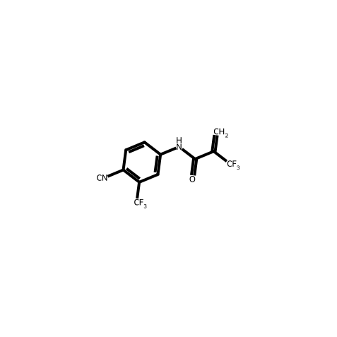 [C-]#[N+]c1ccc(NC(=O)C(=C)C(F)(F)F)cc1C(F)(F)F